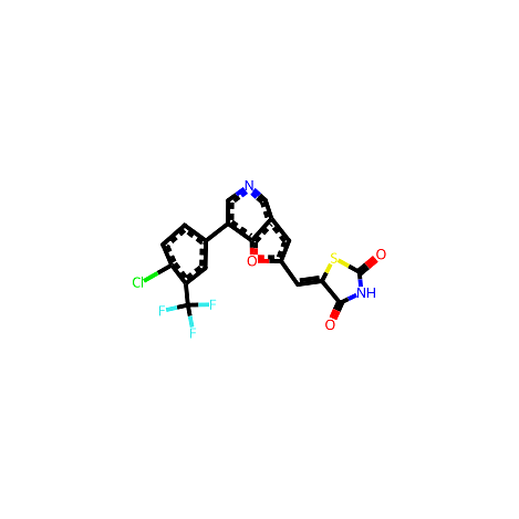 O=C1NC(=O)/C(=C/c2cc3cncc(-c4ccc(Cl)c(C(F)(F)F)c4)c3o2)S1